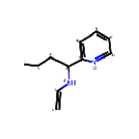 C=CNC(CCC)c1ccccn1